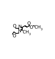 CCOC(=O)C=Cc1nc(C=O)n(CC2CCO2)c1C